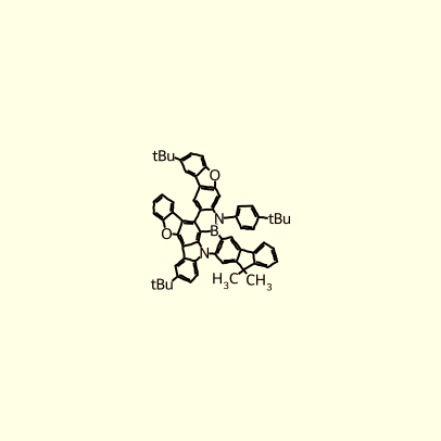 CC(C)(C)c1ccc(N2B3c4cc5c(cc4-n4c6ccc(C(C)(C)C)cc6c6c7oc8ccccc8c7c(c3c64)-c3cc4c(cc32)oc2ccc(C(C)(C)C)cc24)C(C)(C)c2ccccc2-5)cc1